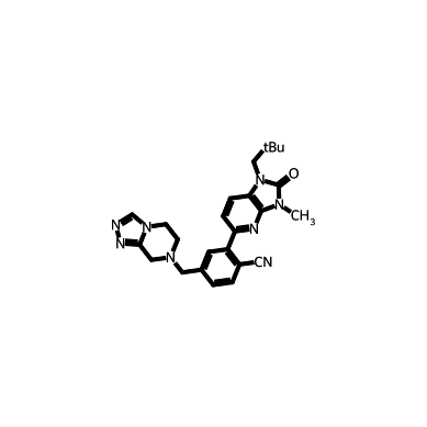 Cn1c(=O)n(CC(C)(C)C)c2ccc(-c3cc(CN4CCn5cnnc5C4)ccc3C#N)nc21